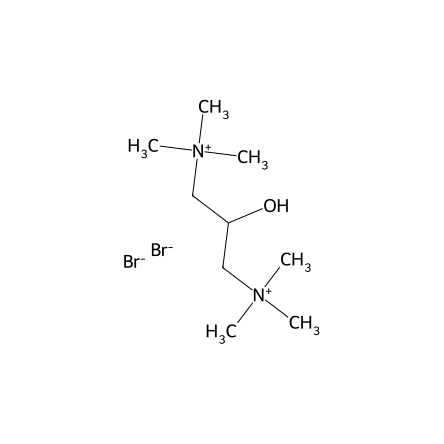 C[N+](C)(C)CC(O)C[N+](C)(C)C.[Br-].[Br-]